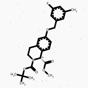 COC(=O)[C@H]1c2ccc(OCc3cc(C)cc(F)c3)cc2CCN1C(=O)OC(C)(C)C